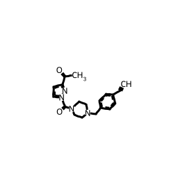 C#Cc1ccc(CN2CCN(C(=O)n3ccc(C(C)=O)n3)CC2)cc1